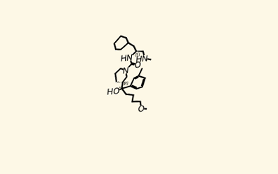 CNC[C@H](CC1CCCCC1)NC(=O)N1CCC[C@@H]([C@@](O)(CCCCOC)c2cccc(C)c2)C1